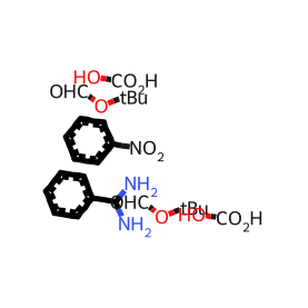 CC(C)(C)OC=O.CC(C)(C)OC=O.NC(N)c1ccccc1.O=C(O)O.O=C(O)O.O=[N+]([O-])c1ccccc1